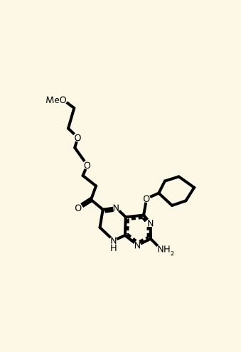 COCCOCOCCC(=O)C1=Nc2c(nc(N)nc2OC2CCCCC2)NC1